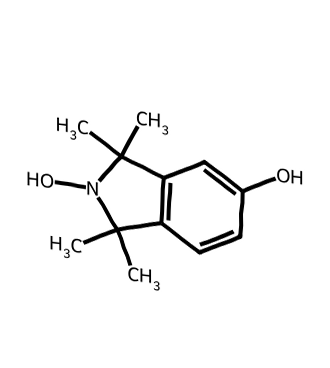 CC1(C)c2ccc(O)cc2C(C)(C)N1O